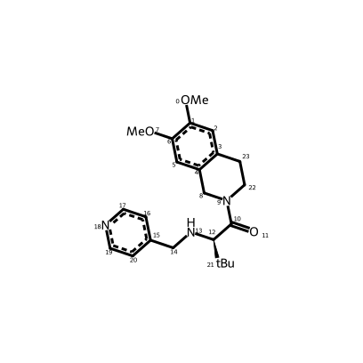 COc1cc2c(cc1OC)CN(C(=O)[C@H](NCc1ccncc1)C(C)(C)C)CC2